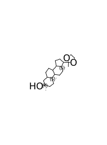 CC1(C2CCC3C4CCC5C[C@](C)(O)CC[C@]5(C)C4CC[C@@]32C)OCCO1